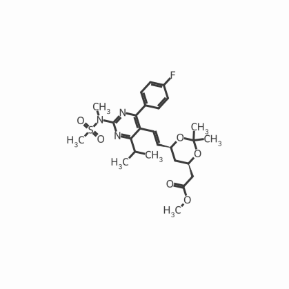 COC(=O)C[C@H]1C[C@@H](C=Cc2c(-c3ccc(F)cc3)nc(N(C)S(C)(=O)=O)nc2C(C)C)OC(C)(C)O1